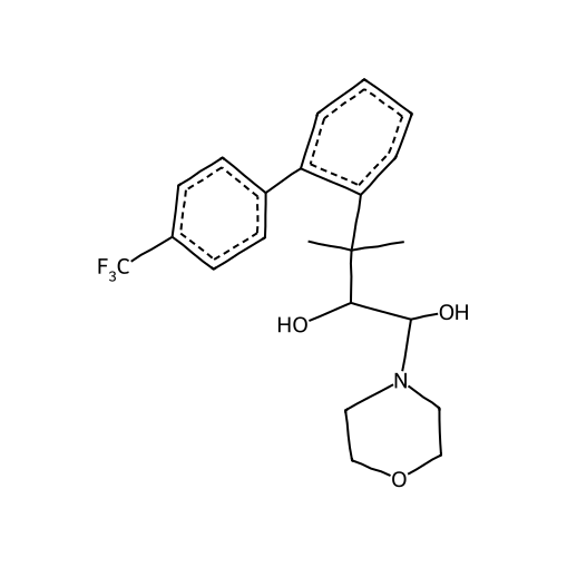 CC(C)(c1ccccc1-c1ccc(C(F)(F)F)cc1)C(O)C(O)N1CCOCC1